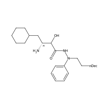 CCCCCCCCCCCCN(NC(=O)C(O)[C@H](N)CC1CCCCC1)c1ccccc1